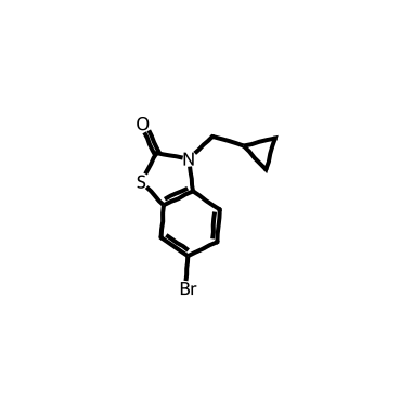 O=c1sc2cc(Br)ccc2n1CC1CC1